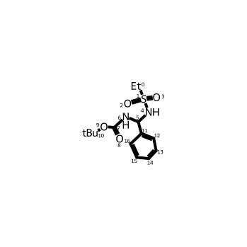 CCS(=O)(=O)NC(NC(=O)OC(C)(C)C)c1ccccc1